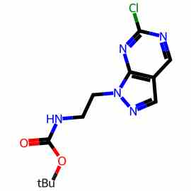 CC(C)(C)OC(=O)NCCn1ncc2cnc(Cl)nc21